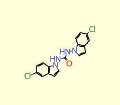 O=C(Nn1ccc2cc(Cl)ccc21)Nn1ccc2cc(Cl)ccc21